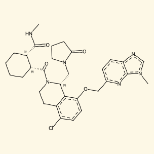 CNC(=O)[C@H]1CCCC[C@H]1C(=O)N1CCc2c(Cl)ccc(OCc3ccc4ncn(C)c4n3)c2[C@H]1CN1CCCC1=O